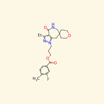 CCc1nn(CCCOC(=O)c2ccc(C)c(F)c2)c2c1C(=O)NCC1(CCOCC1)C2